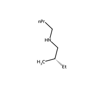 CCCCNC[C@@H](C)CC